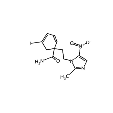 Cc1ncc([N+](=O)[O-])n1CCC1(C(N)=O)C=CC=C(I)C1